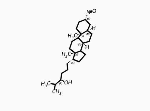 CC(C)[C@H](O)CCC[C@H]1CCC2[C@@H]3CC[C@@H]4C[C@@H](N=O)CC[C@]4(C)C3CC[C@@]21C